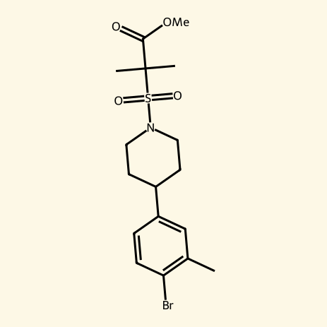 COC(=O)C(C)(C)S(=O)(=O)N1CCC(c2ccc(Br)c(C)c2)CC1